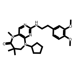 COc1ccc(CCNc2ncc3c(n2)N(C2CCCC2)CC(C)(C)C(=O)N3C)cc1OC